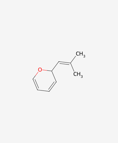 CC(C)=CC1C=CC=CO1